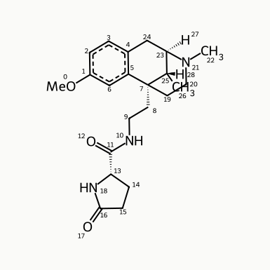 COc1ccc2c(c1)[C@]1(CCNC(=O)[C@@H]3CCC(=O)N3)CCN(C)[C@H](C2)[C@@H]1C